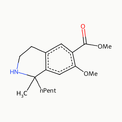 CCCCCC1(C)NCCc2cc(C(=O)OC)c(OC)cc21